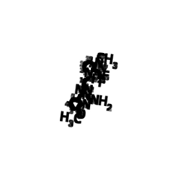 COc1cccc2c1nc(N)n1nc(CCN3CCCc4c3c(C(F)(F)F)nn4C)nc21